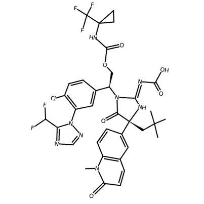 Cn1c(=O)ccc2cc([C@@]3(CC(C)(C)C)N/C(=N\C(=O)O)N([C@H](COC(=O)NC4(C(F)(F)F)CC4)c4ccc(Cl)c(-n5ncnc5C(F)F)c4)C3=O)ccc21